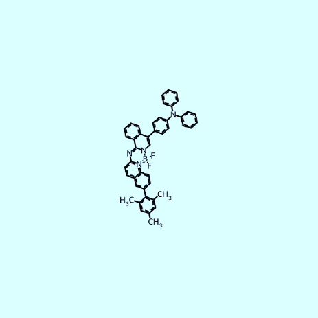 Cc1cc(C)c(-c2ccc3c(ccc4[n+]3[B-](F)(F)N3C=C(c5ccc(N(c6ccccc6)c6ccccc6)cc5)c5ccccc5C3=N4)c2)c(C)c1